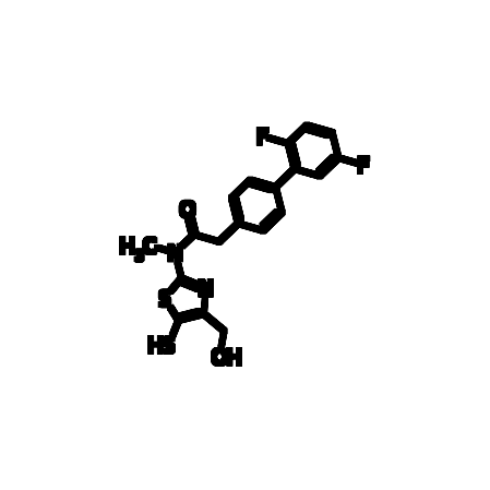 CN(C(=O)Cc1ccc(-c2cc(F)ccc2F)cc1)c1nc(CO)c(S)s1